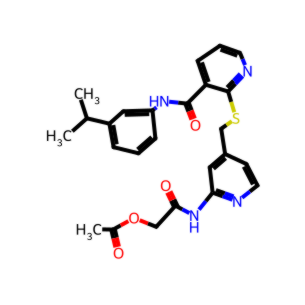 CC(=O)OCC(=O)Nc1cc(CSc2ncccc2C(=O)Nc2cccc(C(C)C)c2)ccn1